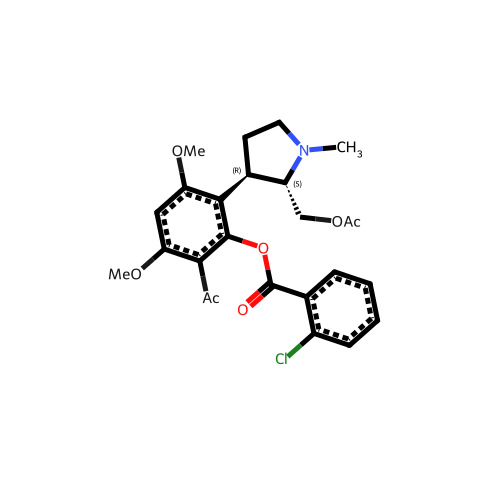 COc1cc(OC)c([C@H]2CCN(C)[C@@H]2COC(C)=O)c(OC(=O)c2ccccc2Cl)c1C(C)=O